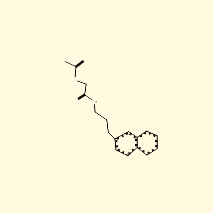 CC(=O)OCC(=O)NCCCc1ccc2ccccc2c1